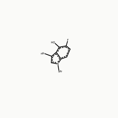 CCCc1cn(CCC)c2ccc(F)c(O)c12